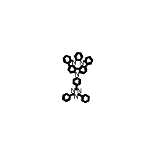 C1=CCC(c2nc(C3=CCCCC3)nc(-c3ccc(-n4c5ccc6c7c(n8c6c5c5c4ccc4c6ccccc6n(c45)C4C=CC=CC48)CCC=C7)cc3)n2)C=C1